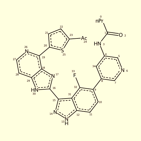 CCCC(=O)Nc1cncc(-c2ccc3[nH]nc(-c4nc5c(-c6ccc(C(C)=O)s6)nccc5[nH]4)c3c2F)c1